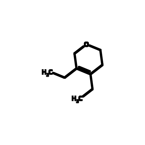 CCC1=C(CC)COCC1